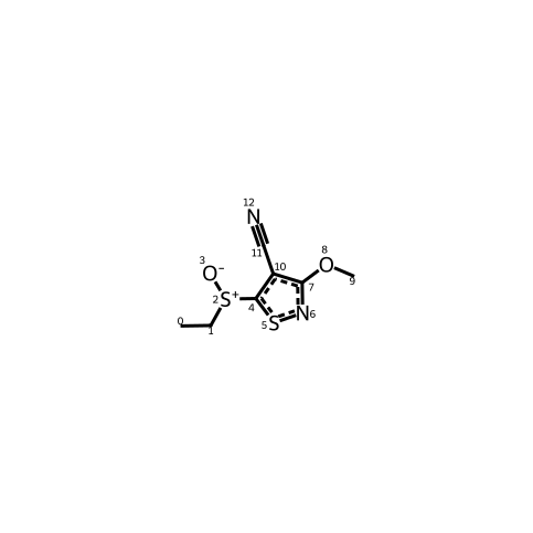 CC[S+]([O-])c1snc(OC)c1C#N